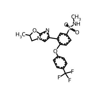 CNS(=O)(=O)c1ccc(Oc2ccc(C(F)(F)F)cc2)c(-c2cn3c(n2)OC(C)C3)c1